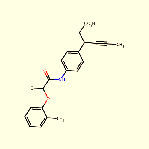 CC#CC(CC(=O)O)c1ccc(NC(=O)C(C)Oc2ccccc2C)cc1